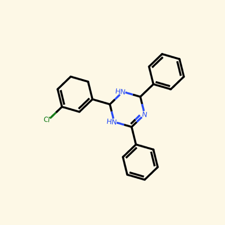 ClC1=CCCC(C2NC(c3ccccc3)=NC(c3ccccc3)N2)=C1